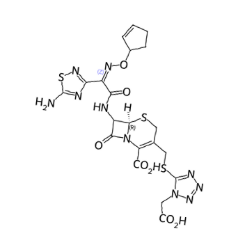 Nc1nc(/C(=N/OC2C=CCC2)C(=O)NC2C(=O)N3C(C(=O)O)=C(CSc4nnnn4CC(=O)O)CS[C@H]23)ns1